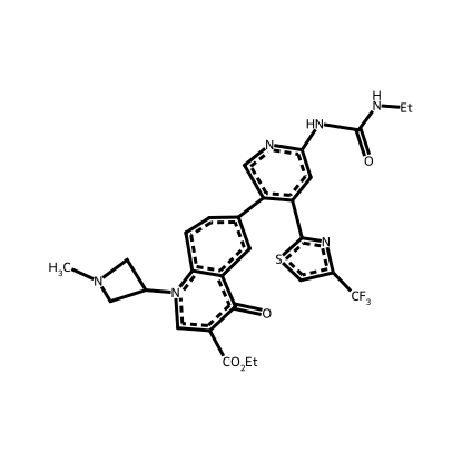 CCNC(=O)Nc1cc(-c2nc(C(F)(F)F)cs2)c(-c2ccc3c(c2)c(=O)c(C(=O)OCC)cn3C2CN(C)C2)cn1